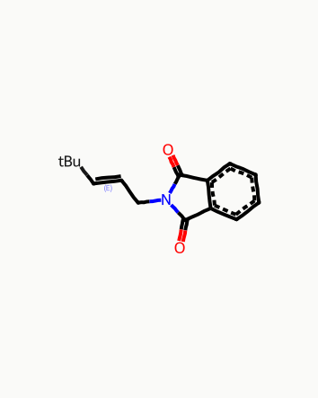 CC(C)(C)/C=C/CN1C(=O)c2ccccc2C1=O